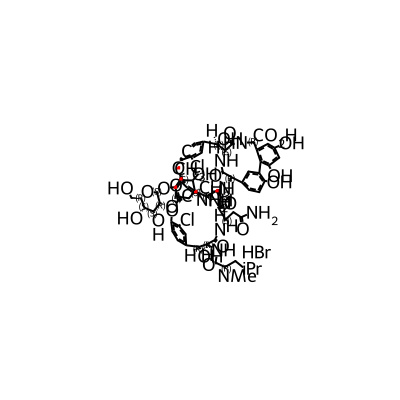 Br.CN[C@H](CC(C)C)C(=O)N[C@H]1C(=O)N[C@@H](CC(N)=O)C(=O)N[C@H]2C(=O)N[C@H]3C(=O)N[C@H](C(=O)N[C@@H](C(=O)O)c4cc(O)cc(O)c4-c4cc3ccc4O)[C@H](O)c3ccc(c(Cl)c3)Oc3cc2cc(c3O[C@@H]2O[C@H](CO)[C@@H](O)[C@H](O)[C@H]2O[C@H]2C[C@](C)(N)C(O)[C@H](C)O2)Oc2ccc(cc2Cl)[C@H]1O